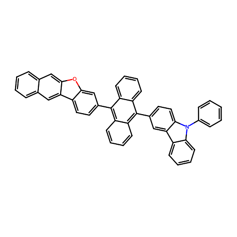 c1ccc(-n2c3ccccc3c3cc(-c4c5ccccc5c(-c5ccc6c(c5)oc5cc7ccccc7cc56)c5ccccc45)ccc32)cc1